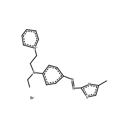 CCN(CC[n+]1ccccc1)c1ccc(/N=N/c2nc(C)cs2)cc1.[Br-]